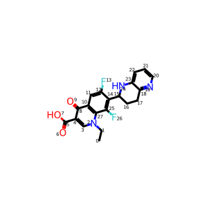 CCn1cc(C(=O)O)c(=O)c2cc(F)c(C3CCc4ncccc4N3)c(F)c21